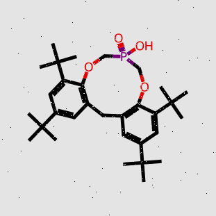 CC(C)(C)c1cc2c(c(C(C)(C)C)c1)OCP(=O)(O)COc1c(cc(C(C)(C)C)cc1C(C)(C)C)C2